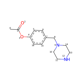 CC(=O)Oc1ccc(CN2CCNCC2)cc1